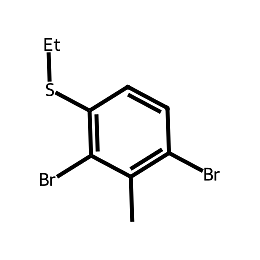 CCSc1ccc(Br)c(C)c1Br